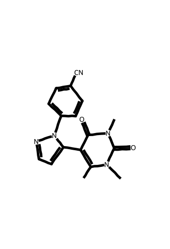 Cc1c(-c2ccnn2-c2ccc(C#N)cc2)c(=O)n(C)c(=O)n1C